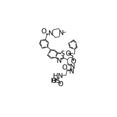 CN1CCN(C(=O)c2cccc(-c3ccc4nc(C(c5nnc(CN[SH](=O)=O)o5)S(=O)(=O)Cc5ccccc5)sc4c3)c2)CC1